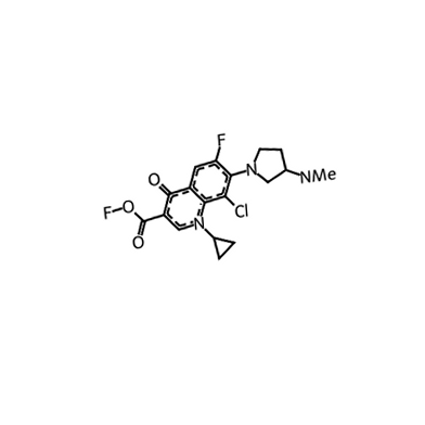 CNC1CCN(c2c(F)cc3c(=O)c(C(=O)OF)cn(C4CC4)c3c2Cl)C1